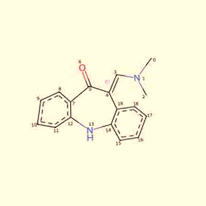 CN(C)/C=C1/C(=O)c2ccccc2Nc2ccccc21